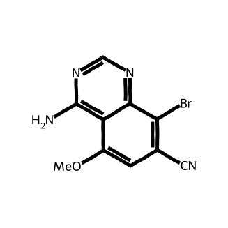 COc1cc(C#N)c(Br)c2ncnc(N)c12